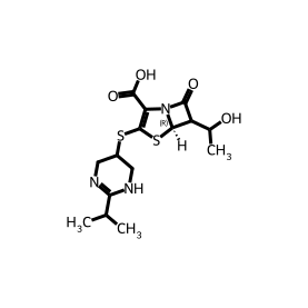 CC(C)C1=NCC(SC2=C(C(=O)O)N3C(=O)C(C(C)O)[C@H]3S2)CN1